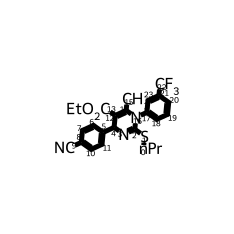 CCCSC1=NC(c2ccc(C#N)cc2)C(C(=O)OCC)=C(C)N1c1cccc(C(F)(F)F)c1